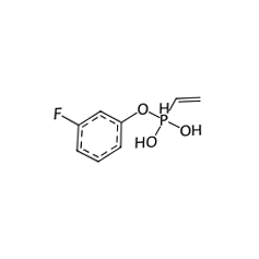 C=C[PH](O)(O)Oc1cccc(F)c1